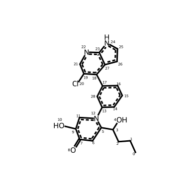 CCCC(O)c1cc(=O)c(O)cn1-c1cccc(-c2c(Cl)cnc3[nH]ccc23)c1